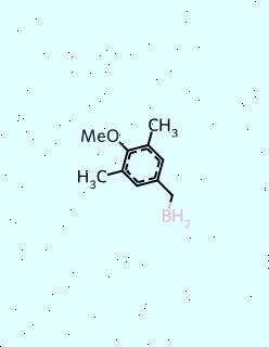 BCc1cc(C)c(OC)c(C)c1